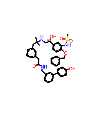 CC(C)(Cc1cccc(CC(=O)NCc2cccc(-c3ccc(O)cc3)c2)c1)NC[C@@H](O)c1ccc(OCc2ccccc2)c(NS(C)(=O)=O)c1